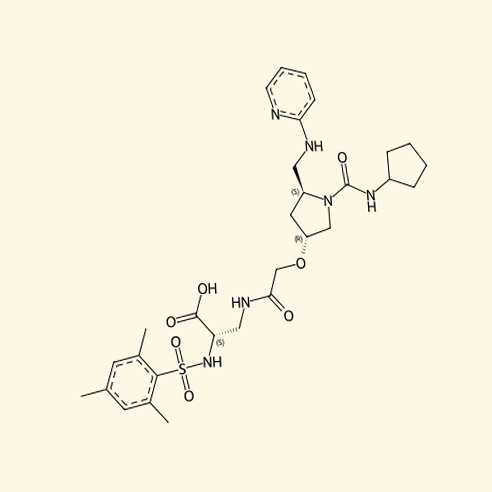 Cc1cc(C)c(S(=O)(=O)N[C@@H](CNC(=O)CO[C@@H]2C[C@@H](CNc3ccccn3)N(C(=O)NC3CCCC3)C2)C(=O)O)c(C)c1